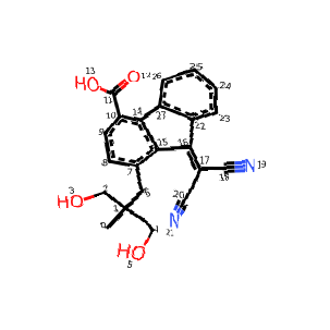 CC(CO)(CO)Cc1ccc(C(=O)O)c2c1C(=C(C#N)C#N)c1ccccc1-2